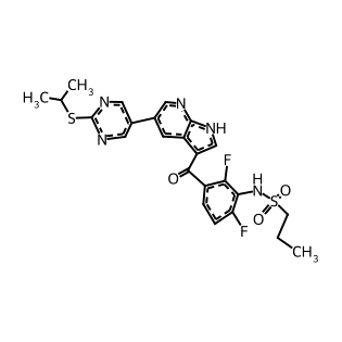 CCCS(=O)(=O)Nc1c(F)ccc(C(=O)c2c[nH]c3ncc(-c4cnc(SC(C)C)nc4)cc23)c1F